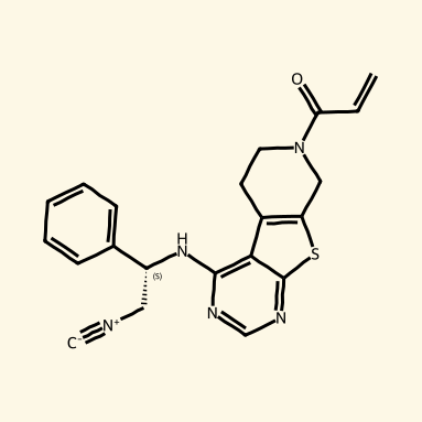 [C-]#[N+]C[C@@H](Nc1ncnc2sc3c(c12)CCN(C(=O)C=C)C3)c1ccccc1